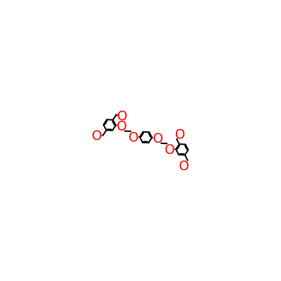 COCc1ccc(C=O)c(OCCOc2ccc(OCCOc3cc(C=O)ccc3C=O)cc2)c1